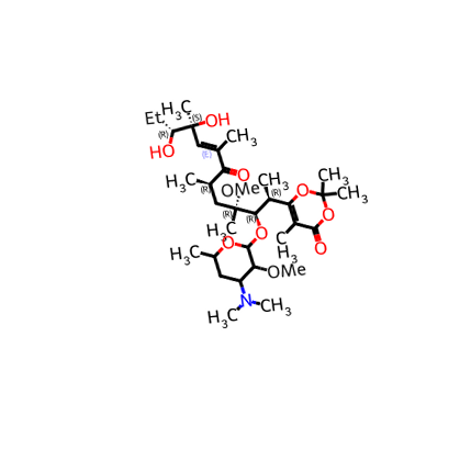 CC[C@@H](O)[C@@](C)(O)/C=C(\C)C(=O)[C@H](C)C[C@@](C)(OC)[C@H](OC1OC(C)CC(N(C)C)C1OC)[C@@H](C)C1=C(C)C(=O)OC(C)(C)O1